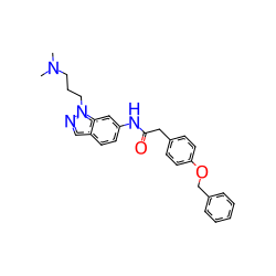 CN(C)CCCn1ncc2ccc(NC(=O)Cc3ccc(OCc4ccccc4)cc3)cc21